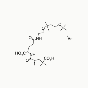 CC(=O)CCC(C)(C)OCCC(C)(C)OCCNC(=O)CCC(NC(=O)C(C)CC(C)(C)C(=O)O)C(=O)O